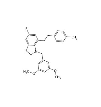 COc1cc(CN2CCc3cc(F)cc(CCc4ccc(C)cc4)c32)cc(OC)c1